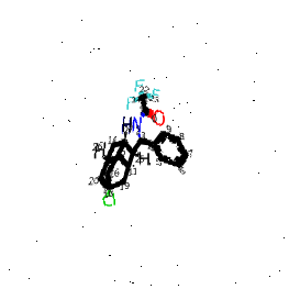 O=C(N[C@H](c1ccccc1)[C@@H]1[C]2C[C@H]3C[C@H]1C[C@](Cl)(C2)C3)C(F)(F)F